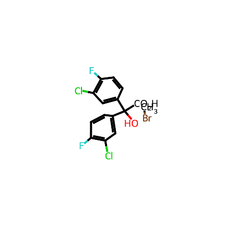 CBr.O=C(O)C(O)(c1ccc(F)c(Cl)c1)c1ccc(F)c(Cl)c1